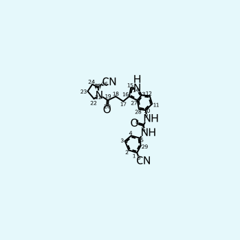 N#Cc1cccc(NC(=O)Nc2ccc3[nH]cc(CCC(=O)N4CCC[C@H]4C#N)c3c2)c1